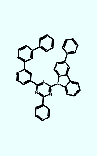 c1ccc(-c2cccc(-c3cccc(-c4nc(-c5ccccc5)nc(-n5c6ccccc6c6cc(-c7ccccc7)ccc65)n4)c3)c2)cc1